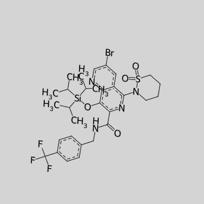 CC(C)[Si](Oc1c(C(=O)NCc2ccc(C(F)(F)F)cc2)nc(N2CCCCS2(=O)=O)c2cc(Br)cnc12)(C(C)C)C(C)C